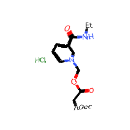 CCCCCCCCCCCC(=O)OCN1C=CC=C(C(=O)NCC)C1.Cl